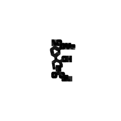 COc1cc(C2CCN(C(=O)OC(C)(C)C)CC2O)ccc1[N+](=O)[O-]